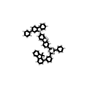 CC1(C)c2ccccc2-c2cccc(-c3cccc(-c4nc(-c5ccccc5)nc(-c5ccc6c(c5)oc5cc(-n7c8ccccc8c8ccc(-c9ccccc9)cc87)ccc56)n4)c3)c21